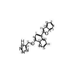 c1ccc2oc(-c3ccc(OCc4nnn[nH]4)c4ncccc34)cc2c1